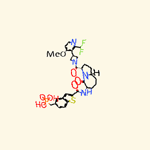 COc1ccnc(C(F)F)c1C1CN(C(=O)[C@@H]2CC[C@@H]3CCC[C@H](NC(=O)c4cc5cc(CP(=O)(O)O)ccc5s4)C(=O)N32)C1